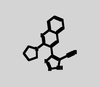 N#Cc1[nH]nnc1-c1cc2ccccc2nc1N1CCCC1